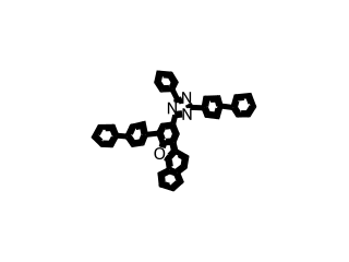 c1ccc(-c2ccc(-c3nc(-c4ccccc4)nc(-c4cc(-c5ccc(-c6ccccc6)cc5)c5oc6c7ccccc7ccc6c5c4)n3)cc2)cc1